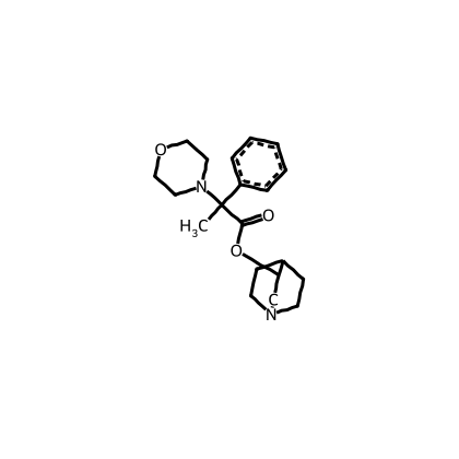 CC(C(=O)OC1CN2CCC1CC2)(c1ccccc1)N1CCOCC1